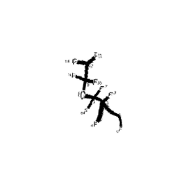 F[CH]C(F)(F)C(F)(F)OC(F)(F)C(F)F